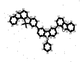 CC1(C)c2cc(-c3ccc4c(c3)c3cc(-c5cccc6c5oc5ccccc56)ccc3n4-c3ccccc3)ccc2-c2ccc3sc4ccccc4c3c21